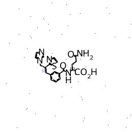 NC(=O)CC[C@H](NC(=O)c1cccc(/C=C(/Cn2ccnc2)c2nccs2)c1)C(=O)O